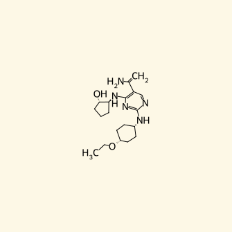 C=C(N)c1cnc(N[C@H]2CC[C@@H](OCC)CC2)nc1N[C@H]1CCC[C@@H]1O